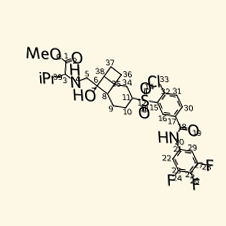 COC(=O)[C@@H](NC[C@@]1(O)C2CCC(S(=O)(=O)c3cc(C(=O)Nc4cc(F)c(F)c(F)c4)ccc3Cl)CC23CCC31)C(C)C